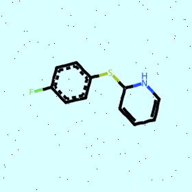 Fc1ccc(S[C]2C=CC=CN2)cc1